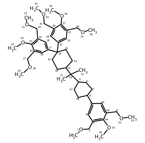 COCc1cc(C2CCC(C(C)(C)C3CCC(c4cc(COC)c(OC)c(COC)c4)(c4cc(COC)c(OC)c(COC)c4)CC3)CC2)cc(COC)c1OC